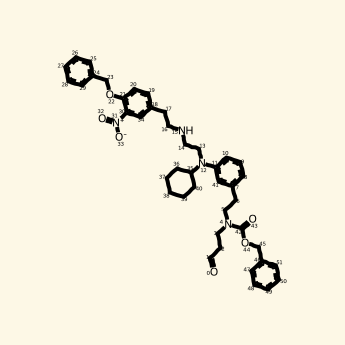 O=CCCN(CCc1cccc(N(CCNCCc2ccc(OCc3ccccc3)c([N+](=O)[O-])c2)C2CCCCC2)c1)C(=O)OCc1ccccc1